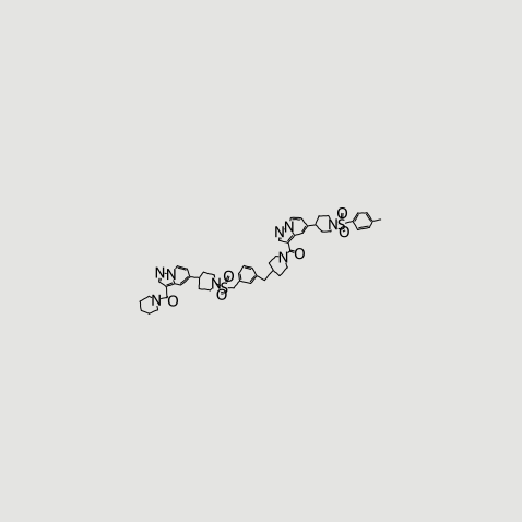 Cc1ccc(S(=O)(=O)N2CCC(c3ccn4ncc(C(=O)N5CCC(Cc6cccc(CS(=O)(=O)N7CCC(c8ccn9ncc(C(=O)N%10CCCCC%10)c9c8)CC7)c6)CC5)c4c3)CC2)cc1